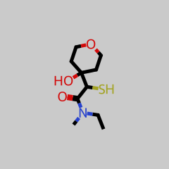 CCN(C)C(=O)C(S)C1(O)CCOCC1